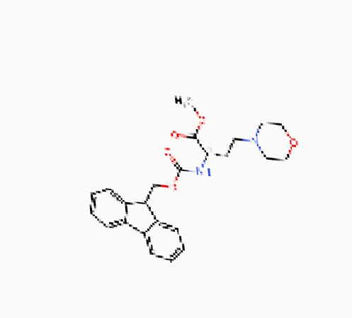 COC(=O)[C@H](CCN1CCOCC1)NC(=O)OCC1c2ccccc2-c2ccccc21